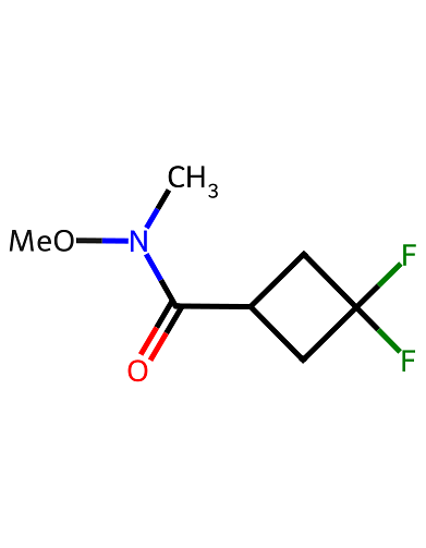 CON(C)C(=O)C1CC(F)(F)C1